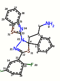 NCCCC1(c2ccccc2)SC(c2cc(F)ccc2F)=NN1c1nc2ccccc2s1